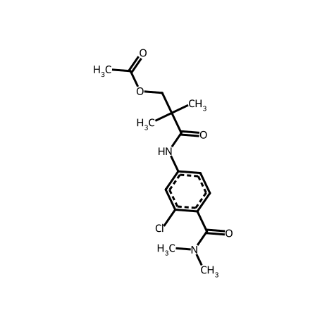 CC(=O)OCC(C)(C)C(=O)Nc1ccc(C(=O)N(C)C)c(Cl)c1